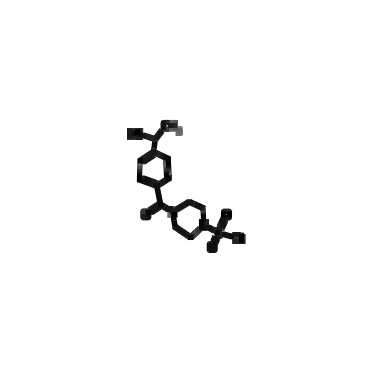 CCS(=O)(=O)N1CCN(C(=O)c2ccc(C(C)S)cc2)CC1